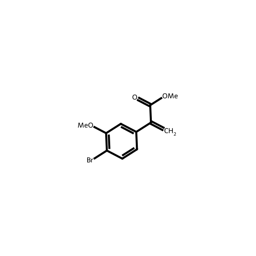 C=C(C(=O)OC)c1ccc(Br)c(OC)c1